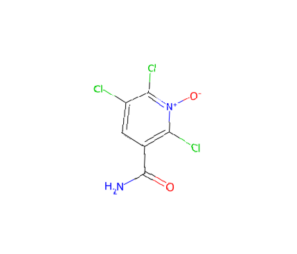 NC(=O)c1cc(Cl)c(Cl)[n+]([O-])c1Cl